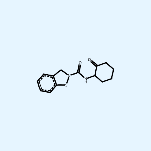 O=C1CCCCC1NC(=O)N1Cc2ccccc2S1